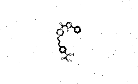 CCCC(=O)N(O)c1ccc(CCCN2CCN(C(=O)C3CSC(c4cccnc4)N3)CC2)cc1